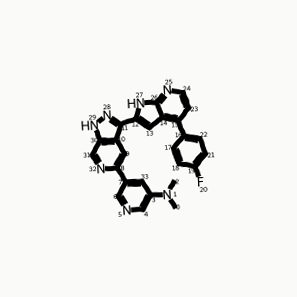 CN(C)c1cncc(-c2cc3c(-c4cc5c(-c6ccc(F)cc6)ccnc5[nH]4)n[nH]c3cn2)c1